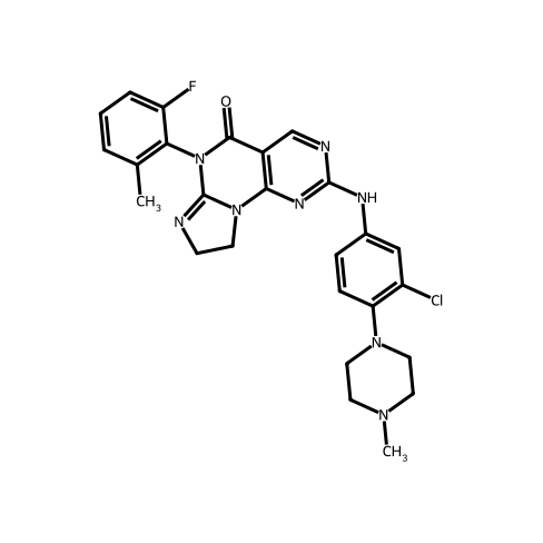 Cc1cccc(F)c1N1C(=O)c2cnc(Nc3ccc(N4CCN(C)CC4)c(Cl)c3)nc2N2CCN=C21